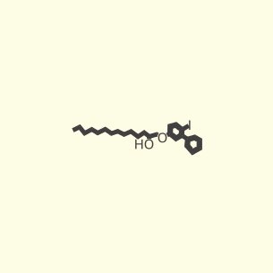 CCCCCCCCCCCCC(O)COc1ccc(I)c(-c2ccccc2)c1